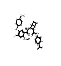 COc1cc(F)c(OC2CCC(C=O)CC2)cc1C(=O)NC1C2CCC2C1C(=O)Nc1ccc(C(F)F)cc1